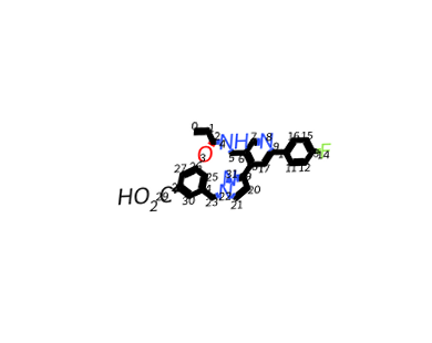 C=CC(=O)NCc1cnc(-c2ccc(F)cc2)cc1-c1ccn(Cc2cccc(C(=O)O)c2)n1